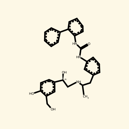 CC(Cc1cccc(NC(=O)Nc2ccccc2-c2ccccc2)c1)NC[C@H](O)c1ccc(O)c(CO)c1